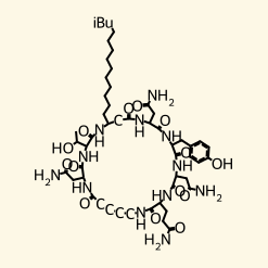 CCC(C)CCCCCCCCCCC1CC(=O)NC(CC(N)=O)C(=O)NC(Cc2ccc(O)cc2)C(=O)NC(CC(N)=O)C(=O)NC(CCC(N)=O)C(=O)NCCCCC(=O)NC(CC(N)=O)C(=O)NC(C(C)O)C(=O)N1